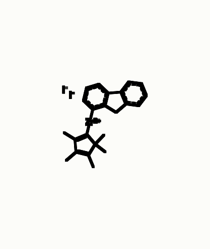 CC1=C(C)C(C)(C)[C]([Zr+2][c]2cccc3c2Cc2ccccc2-3)=C1C.[I-].[I-]